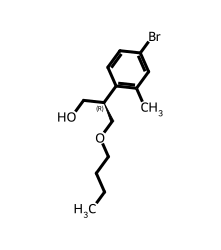 CCCCOC[C@@H](CO)c1ccc(Br)cc1C